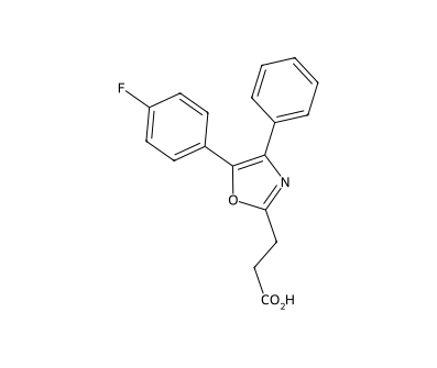 O=C(O)CCc1nc(-c2ccccc2)c(-c2ccc(F)cc2)o1